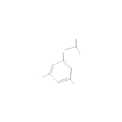 [CH2]C(C)c1cc(CC)cc(OC(F)F)c1